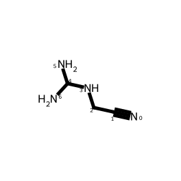 N#CCNC(N)N